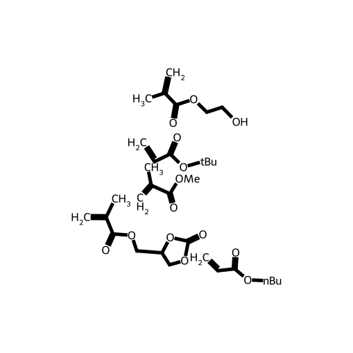 C=C(C)C(=O)OC.C=C(C)C(=O)OCC1COC(=O)O1.C=C(C)C(=O)OCCO.C=CC(=O)OC(C)(C)C.C=CC(=O)OCCCC